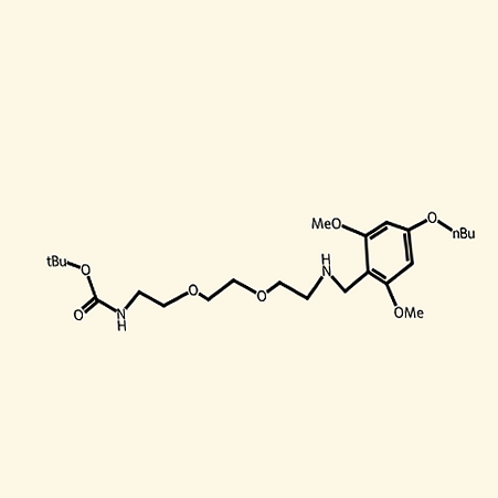 CCCCOc1cc(OC)c(CNCCOCCOCCNC(=O)OC(C)(C)C)c(OC)c1